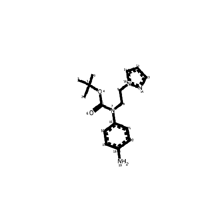 CC(C)(C)OC(=O)N(CCn1cccn1)c1ccc(N)cc1